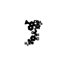 Cc1cc(C2CC2)c2ccccc2c1-n1c(N)nnc1SCC(=O)Nc1ccc(S(N)(=O)=O)cc1Cl